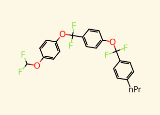 CCCc1ccc(C(F)(F)Oc2ccc(C(F)(F)Oc3ccc(OC(F)F)cc3)cc2)cc1